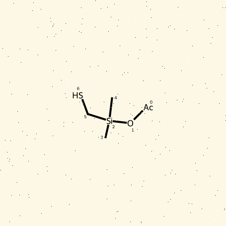 CC(=O)O[Si](C)(C)CS